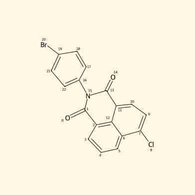 O=C1c2cccc3c(Cl)ccc(c23)C(=O)N1c1ccc(Br)cc1